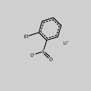 CCc1ccccc1S(=O)[O-].[Li+]